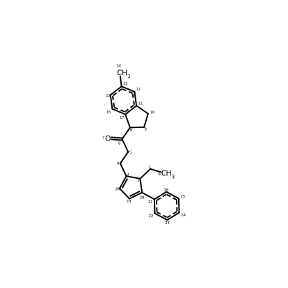 CCC1C(CCC(=O)C2CCc3cc(C)ccc32)=CC=C1c1ccccc1